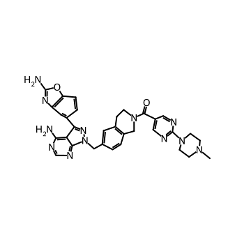 CN1CCN(c2ncc(C(=O)N3CCc4cc(Cn5nc(-c6ccc7oc(N)nc7c6)c6c(N)ncnc65)ccc4C3)cn2)CC1